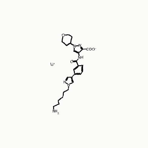 NCCCCCCn1cc(-c2cccc(C(=O)Nc3cn(C4CCOCC4)nc3C(=O)[O-])c2)cn1.[Li+]